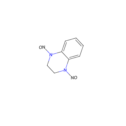 O=NN1CCN(N=O)c2ccccc21